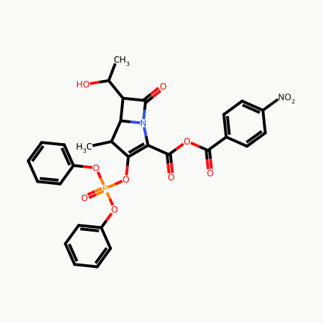 CC(O)C1C(=O)N2C(C(=O)OC(=O)c3ccc([N+](=O)[O-])cc3)=C(OP(=O)(Oc3ccccc3)Oc3ccccc3)C(C)C12